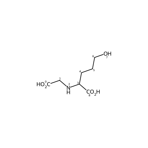 O=C(O)CNC(CCCO)C(=O)O